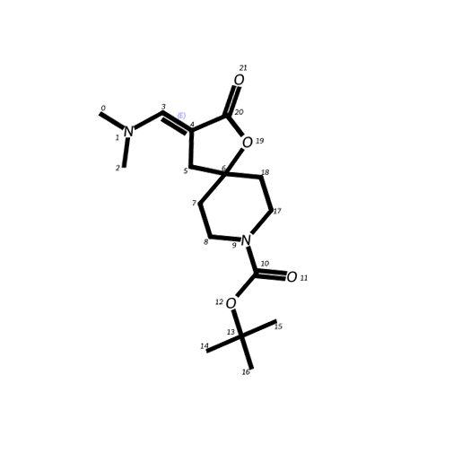 CN(C)/C=C1\CC2(CCN(C(=O)OC(C)(C)C)CC2)OC1=O